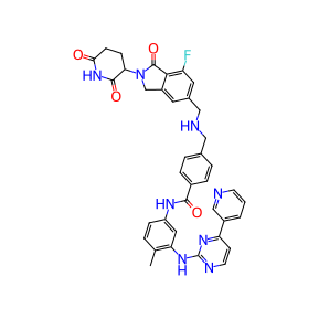 Cc1ccc(NC(=O)c2ccc(CNCc3cc(F)c4c(c3)CN(C3CCC(=O)NC3=O)C4=O)cc2)cc1Nc1nccc(-c2cccnc2)n1